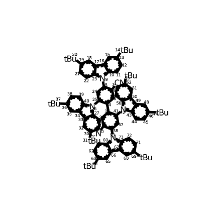 [C-]#[N+]c1cc(-c2cc(C#N)c(-n3c4ccc(C(C)(C)C)cc4c4cc(C(C)(C)C)ccc43)cc2-n2c3ccc(C(C)(C)C)cc3c3cc(C(C)(C)C)ccc32)c(-n2c3ccc(C(C)(C)C)cc3c3cc(C(C)(C)C)ccc32)cc1-n1c2ccc(C(C)(C)C)cc2c2cc(C(C)(C)C)ccc21